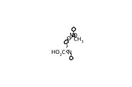 Cc1oc(-c2ccccc2)nc1COc1cccc(CC[C@@H]2CN(Cc3ccccc3)C[C@@H]2C(=O)O)c1